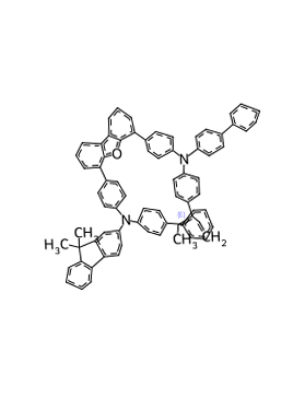 C=C/C(=C\C)c1ccc(N(c2ccc(-c3ccccc3)cc2)c2ccc(-c3cccc4c3oc3c(-c5ccc(N(c6ccc(-c7ccccc7)cc6)c6ccc7c(c6)C(C)(C)c6ccccc6-7)cc5)cccc34)cc2)cc1